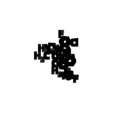 Cc1cc(-n2cc(F)cn2)c2cccc(OCc3c(Cl)cc(F)cc3[C@H](C)N3CCN[C@H](C)C3=O)c2n1